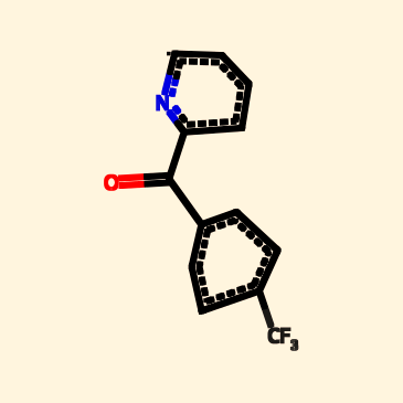 O=C(c1ccc(C(F)(F)F)cc1)c1ccc[c]n1